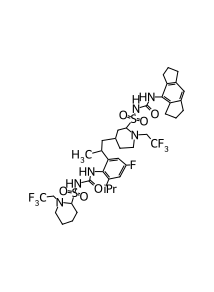 CC(C)c1cc(F)cc(C(C)CC2CCN(CC(F)(F)F)C(S(=O)(=O)NC(=O)Nc3c4c(cc5c3CCC5)CCC4)C2)c1NC(=O)NS(=O)(=O)C1CCCCN1CC(F)(F)F